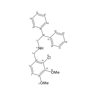 COc1ccc(CNCC(c2ccccc2)c2ccccc2)c(Cl)c1OC